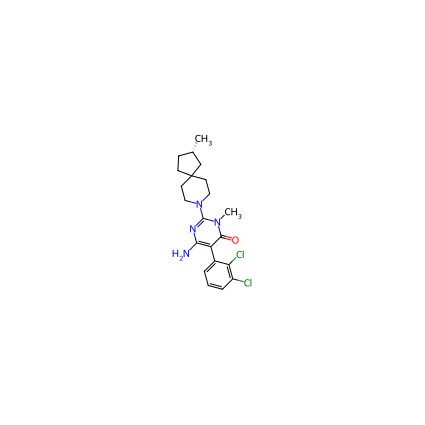 C[C@H]1CCC2(CCN(c3nc(N)c(-c4cccc(Cl)c4Cl)c(=O)n3C)CC2)C1